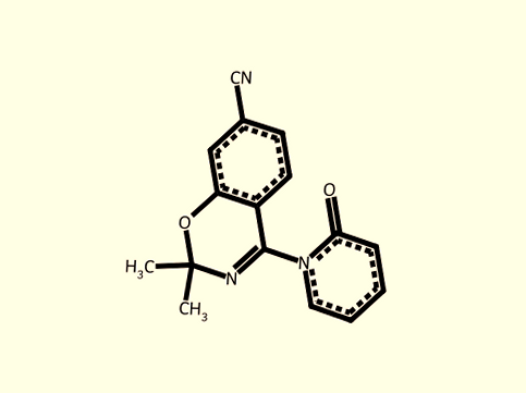 CC1(C)N=C(n2ccccc2=O)c2ccc(C#N)cc2O1